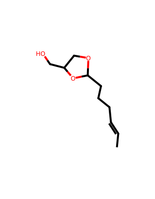 CC=CCCCC1OCC(CO)O1